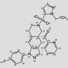 CCn1nccc1S(=O)(=O)N1CCC2=Cc3c(cnn3-c3ccc(F)cc3)C[C@]2(C(=O)c2ccccn2)C1